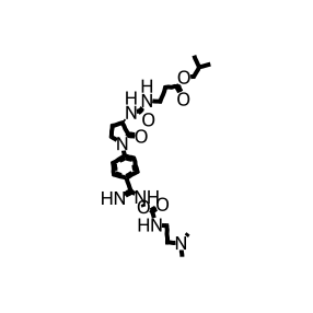 CC(C)COC(=O)CCNC(=O)N[C@H]1CCN(c2ccc(C(=N)NOC(=O)NCCN(C)C)cc2)C1=O